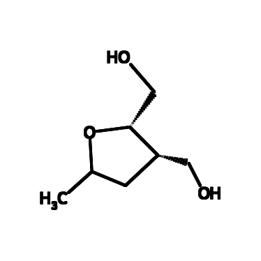 CC1C[C@@H](CO)[C@@H](CO)O1